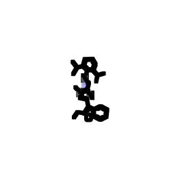 CCc1oc2ccccc2c1-c1cn(C)c(/C=N/c2c(C(C)C)cccc2C(C)C)n1